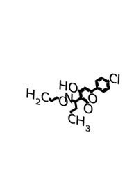 C=CCO/N=C(\CCC)c1c(O)cc(-c2ccc(Cl)cc2)oc1=O